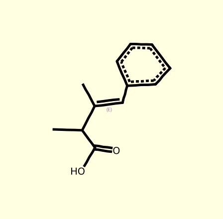 C/C(=C\c1ccccc1)C(C)C(=O)O